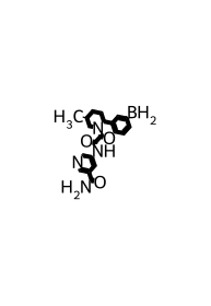 Bc1cccc(C2CC[C@@H](C)CN2C(=O)C(=O)Nc2cncc(C(N)=O)c2)c1